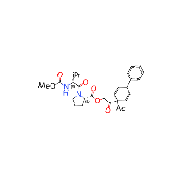 [CH2]C(=O)C1(C(=O)COC(=O)[C@@H]2CCCN2C(=O)[C@@H](NC(=O)OC)C(C)C)C=CC(c2ccccc2)C=C1